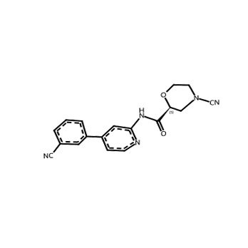 N#Cc1cccc(-c2ccnc(NC(=O)[C@@H]3CN(C#N)CCO3)c2)c1